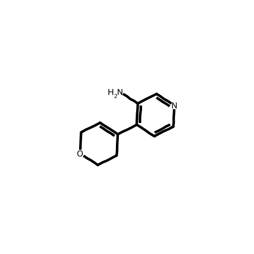 Nc1cnccc1C1=CCOCC1